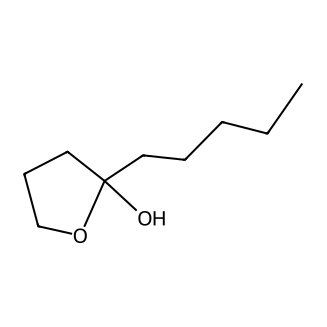 CCCCCC1(O)CCCO1